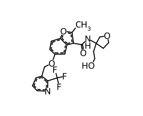 Cc1oc2ccc(OCc3cccnc3C(F)(F)F)cc2c1C(=O)NC1(CCO)CCOC1